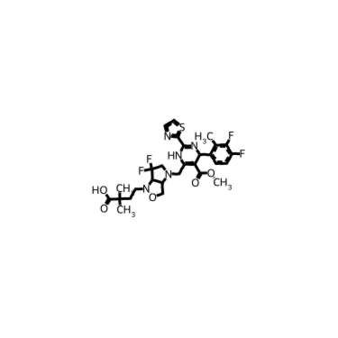 COC(=O)C1=C(CN2CC(F)(F)C3C2CON3CCC(C)(C)C(=O)O)NC(c2nccs2)=NC1c1ccc(F)c(F)c1C